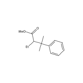 CCC(C(=O)OC)C(C)(C)c1ccccc1